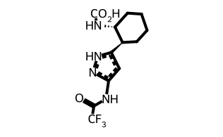 O=C(O)N[C@@H]1CCCC[C@H]1c1cc(NC(=O)C(F)(F)F)n[nH]1